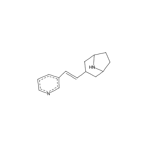 C(=CC1CC2CCC(C1)N2)c1cccnc1